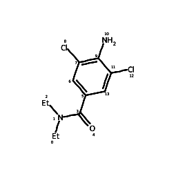 CCN(CC)C(=O)c1cc(Cl)c(N)c(Cl)c1